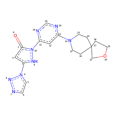 O=c1cc(-n2ccnn2)[nH]n1-c1cc(N2CCC3(CCOC3)CC2)ncn1